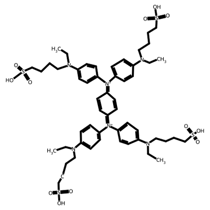 CCN(CCCCS(=O)(=O)O)c1ccc([N+](=C2C=CC(=[N+](c3ccc(N(CC)CCCCS(=O)(=O)O)cc3)c3ccc(N(CC)CCCCS(=O)(=O)O)cc3)C=C2)c2ccc(N(CC)CCCCS(=O)(=O)O)cc2)cc1